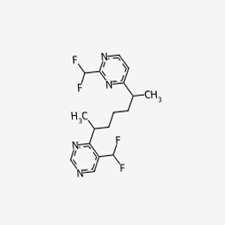 CC(CCCC(C)c1ncncc1C(F)F)c1ccnc(C(F)F)n1